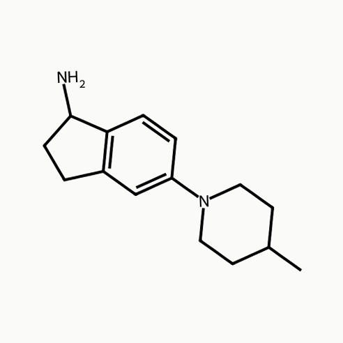 CC1CCN(c2ccc3c(c2)CCC3N)CC1